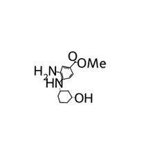 COC(=O)c1ccc(N[C@H]2CCC[C@@H](O)C2)c(N)c1